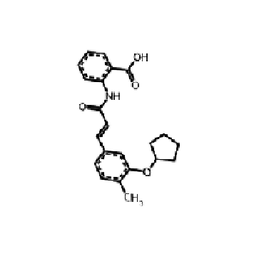 Cc1ccc(/C=C/C(=O)Nc2ccccc2C(=O)O)cc1OC1CCCC1